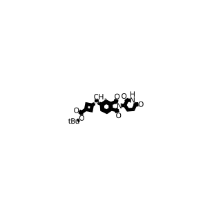 CN(c1ccc2c(c1)C(=O)N(C1CCC(=O)NC1=O)C2=O)C1CC(C(=O)OC(C)(C)C)C1